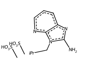 CC(C)Cn1c(N)nc2cccnc21.CS(=O)(=O)O.CS(=O)(=O)O